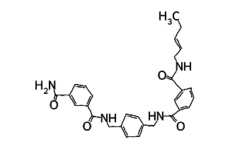 CC/C=C/CNC(=O)c1cccc(C(=O)NCc2ccc(CNC(=O)c3cccc(C(N)=O)c3)cc2)c1